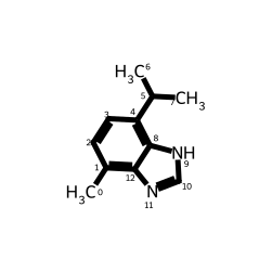 Cc1ccc(C(C)C)c2[nH]cnc12